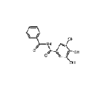 O=C(NC(=O)c1cc(O)c(O)c(O)c1)c1ccccc1